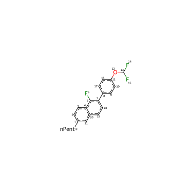 CCCCCc1ccc2c(F)c(-c3ccc(OC(F)F)cc3)ccc2c1